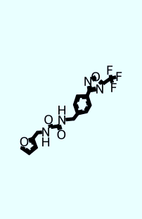 O=C(NCc1ccc(-c2noc(C(F)(F)F)n2)cc1)C(=O)NCc1ccco1